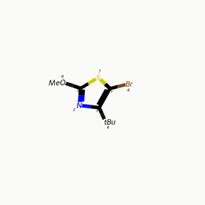 COc1nc(C(C)(C)C)c(Br)s1